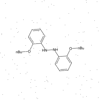 CCCCOc1ccccc1NNc1ccccc1OCCCC